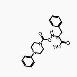 O=C(O)[C@H](Cc1ccccc1)NOC(=O)N1CCN(c2ccccc2)CC1